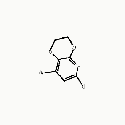 Clc1cc(Br)c2c(n1)OC[CH]O2